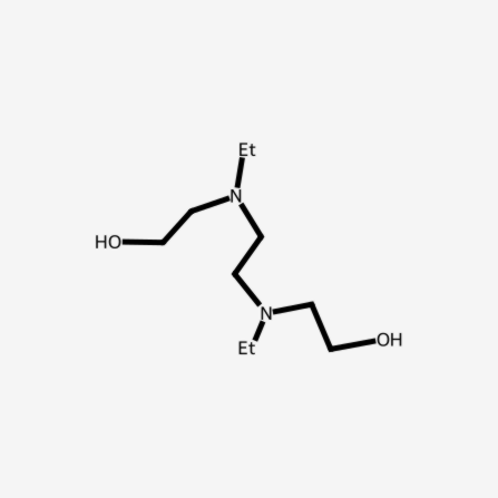 CCN(CCO)CCN(CC)CCO